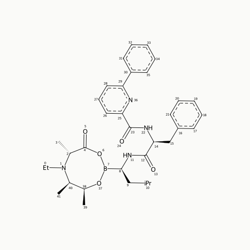 CCN1[C@H](C)C(=O)OB([C@H](CC(C)C)NC(=O)[C@H](Cc2ccccc2)NC(=O)c2cccc(-c3ccccc3)n2)O[C@@H](C)[C@H]1C